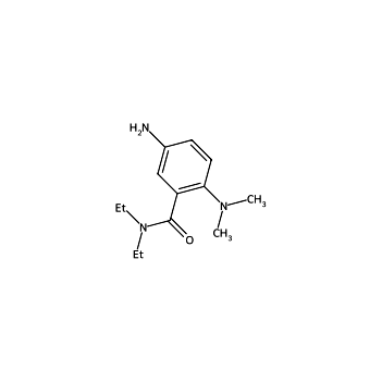 CCN(CC)C(=O)c1cc(N)ccc1N(C)C